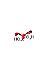 O=C(O)CO[C@@H](C(=O)O)[C@@H](OCCCCCc1ccc2ccccc2c1)C(=O)CCCCCCc1ccc2ccccc2c1